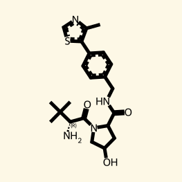 Cc1ncsc1-c1ccc(CNC(=O)C2CC(O)CN2C(=O)[C@H](N)C(C)(C)C)cc1